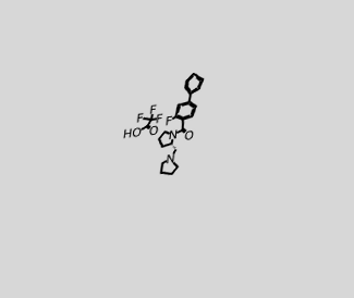 O=C(O)C(F)(F)F.O=C(c1ccc(-c2ccccc2)cc1F)N1CCC[C@H]1CN1CCCC1